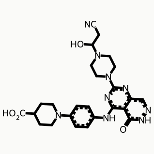 N#CCC(O)N1CCN(c2nc(Nc3ccc(N4CCC(C(=O)O)CC4)cc3)c3c(=O)[nH]ncc3n2)CC1